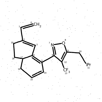 C=CC1=CC2=C(c3noc(CC(C)C)c3C(F)(F)F)C=CCC2CC1